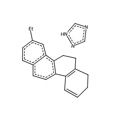 CCc1ccc2ccc3c(c2c1)CCC1=C3C=CCC1.c1nc[nH]n1